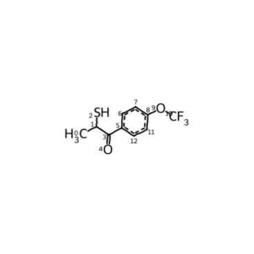 CC(S)C(=O)c1ccc(OC(F)(F)F)cc1